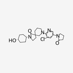 O=C1CCCN1c1cnc(N2CCCC3(CCN([C@H]4CC[C@@H](O)CC4)C3=O)C2)c(Cl)c1